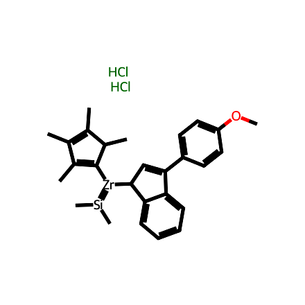 COc1ccc(C2=C[CH]([Zr]([C]3=C(C)C(C)=C(C)C3C)=[Si](C)C)c3ccccc32)cc1.Cl.Cl